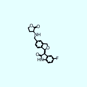 O=C1Nc2ccc(F)cc2/C1=C1\OCc2cc(CNC3CCOC3=O)ccc21